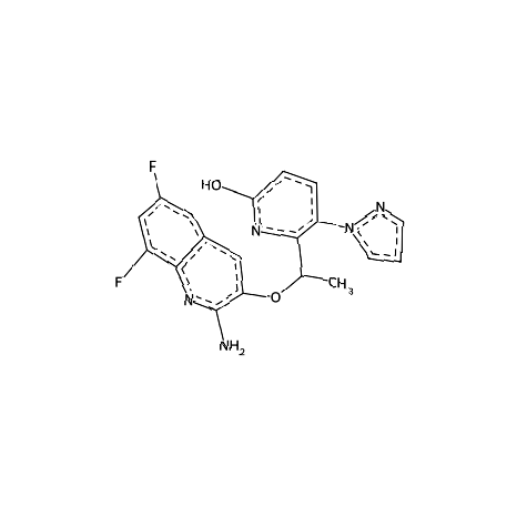 CC(Oc1cc2cc(F)cc(F)c2nc1N)c1nc(O)ccc1-n1cccn1